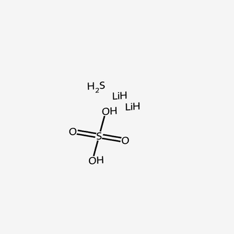 O=S(=O)(O)O.S.[LiH].[LiH]